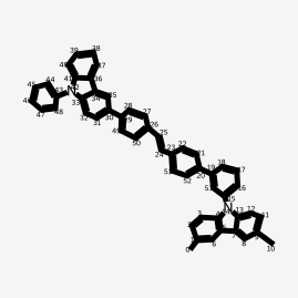 Cc1ccc2c(c1)c1cc(C)ccc1n2-c1cccc(-c2ccc(/C=C/c3ccc(-c4ccc5c(c4)c4ccccc4n5-c4ccccc4)cc3)cc2)c1